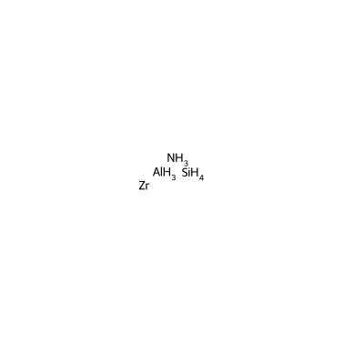 N.[AlH3].[SiH4].[Zr]